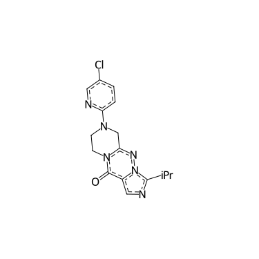 CC(C)c1ncc2c(=O)n3c(nn12)CN(c1ccc(Cl)cn1)CC3